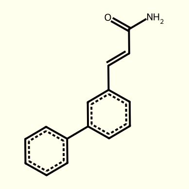 NC(=O)C=Cc1cccc(-c2ccccc2)c1